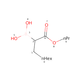 CCCCCCCC(B(O)O)C(=O)OCCC